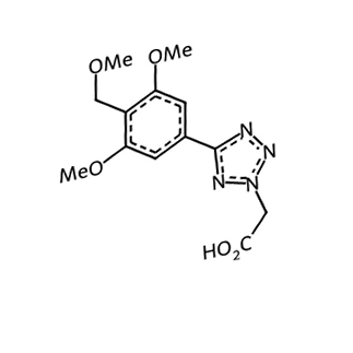 COCc1c(OC)cc(-c2nnn(CC(=O)O)n2)cc1OC